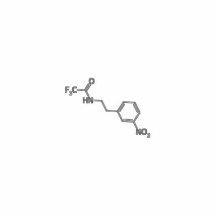 O=C(NCCc1cccc([N+](=O)[O-])c1)C(F)(F)F